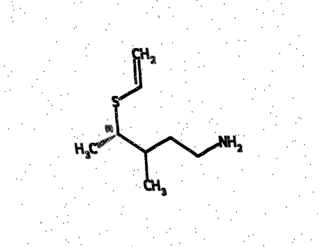 C=CS[C@@H](C)C(C)CCN